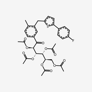 CC(=O)OC[C@@H](OC(C)=O)[C@@H](OC(C)=O)[C@H](OC(C)=O)[C@@H](OC(C)=O)C(=O)c1ccc(C)c(Cc2ccc(-c3ccc(F)cc3)s2)c1